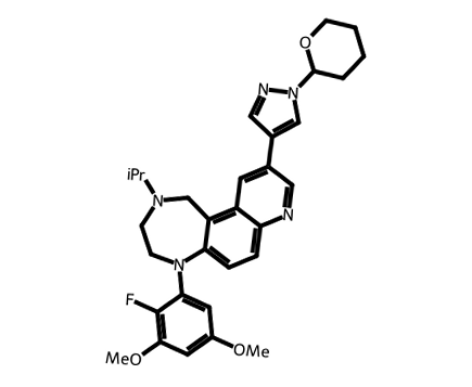 COc1cc(OC)c(F)c(N2CCN(C(C)C)Cc3c2ccc2ncc(-c4cnn(C5CCCCO5)c4)cc32)c1